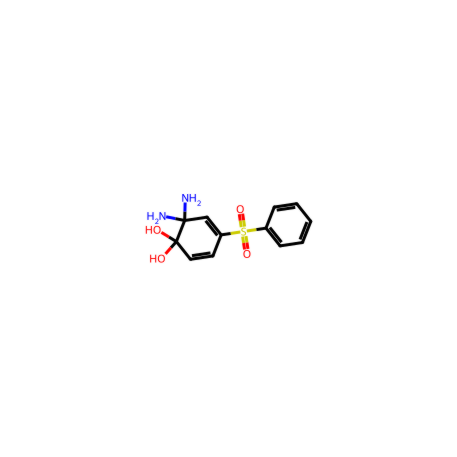 NC1(N)C=C(S(=O)(=O)c2ccccc2)C=CC1(O)O